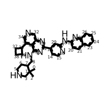 CC1(C)CNCCC1CNc1nc(-c2ccnc(Nc3ccc4ccccc4n3)c2)nc2cncc(C3CCC3)c12